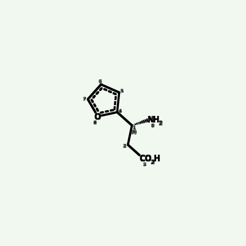 N[C@H](CC(=O)O)c1ccco1